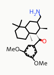 COc1cc(OC)cc(C(=O)[C@H]2[C@H](C)C(CN)CC3C(C)(C)CCC[C@@]32C)c1